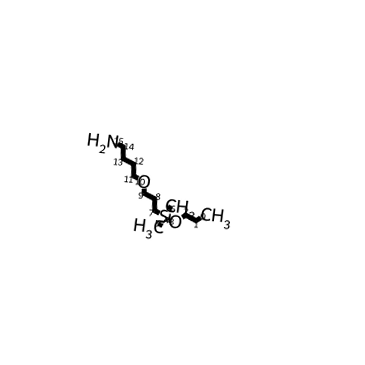 CCCO[Si](C)(C)CCCOCCCCN